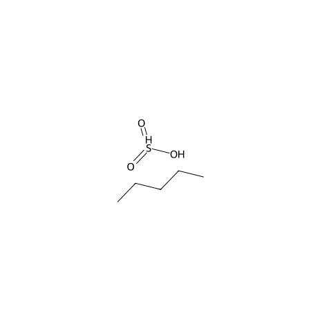 CCCCC.O=[SH](=O)O